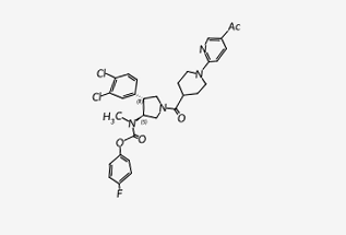 CC(=O)c1ccc(N2CCC(C(=O)N3C[C@@H](N(C)C(=O)Oc4ccc(F)cc4)[C@H](c4ccc(Cl)c(Cl)c4)C3)CC2)nc1